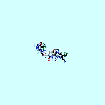 C[C@@H](COCCC(=O)N1CCN2c3nc(C#N)c(C(F)(F)F)cc3N(C)C(=O)[C@@]2(S)C1)Nc1cn[nH]c(=O)c1C(F)(F)F